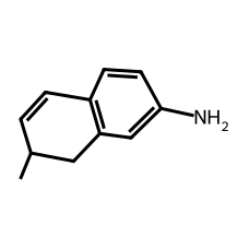 CC1C=Cc2ccc(N)cc2C1